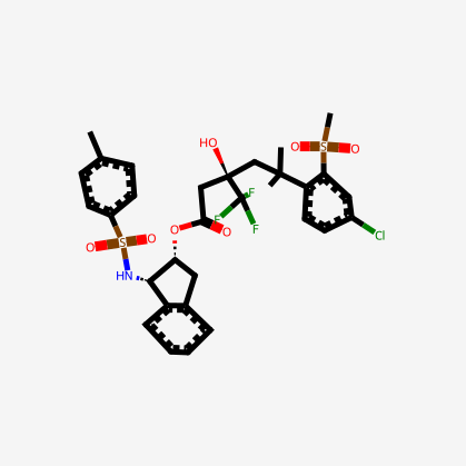 Cc1ccc(S(=O)(=O)N[C@H]2c3ccccc3C[C@H]2OC(=O)C[C@](O)(CC(C)(C)c2ccc(Cl)cc2S(C)(=O)=O)C(F)(F)F)cc1